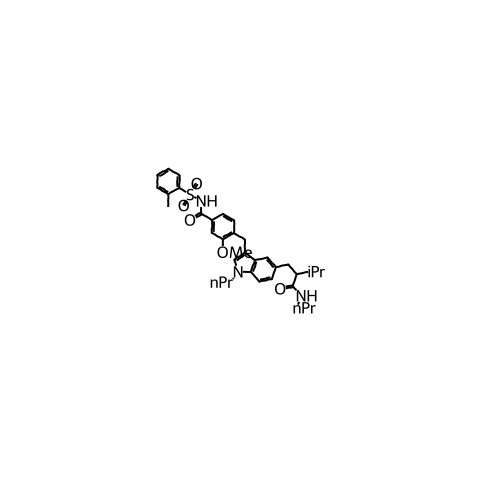 CCCNC(=O)C(Cc1ccc2c(c1)c(Cc1ccc(C(=O)NS(=O)(=O)c3ccccc3C)cc1OC)cn2CCC)C(C)C